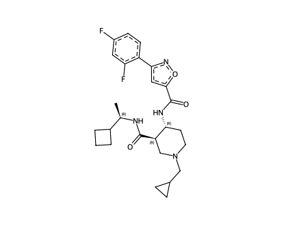 C[C@@H](NC(=O)[C@@H]1CN(CC2CC2)CC[C@H]1NC(=O)c1cc(-c2ccc(F)cc2F)no1)C1CCC1